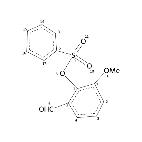 COc1cccc(C=O)c1OS(=O)(=O)c1ccccc1